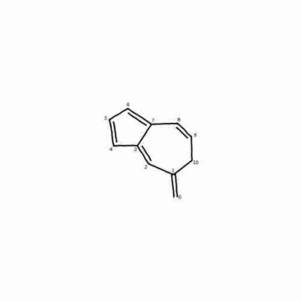 C=C1C=C2C=CC=C2C=CC1